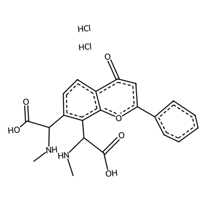 CNC(C(=O)O)c1ccc2c(=O)cc(-c3ccccc3)oc2c1C(NC)C(=O)O.Cl.Cl